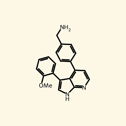 COc1ccccc1-c1c[nH]c2nccc(-c3ccc(CN)cc3)c12